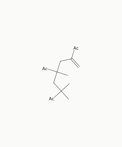 C=C(CC(C)(CC(C)(C)C(C)=O)C(C)=O)C(C)=O